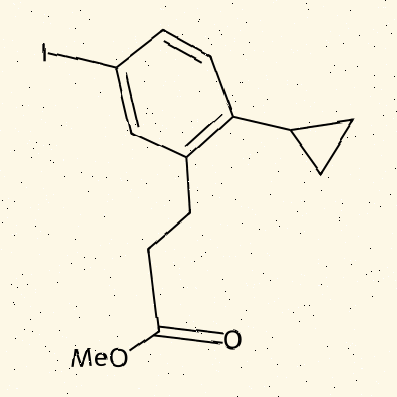 COC(=O)CCc1cc(I)ccc1C1CC1